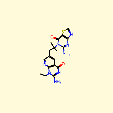 CCn1c(N)nc(=O)c2cc(CC(C)(C)n3c(N)nc4ncsc4c3=O)cnc21